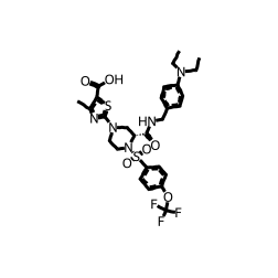 CCN(CC)c1ccc(CNC(=O)[C@H]2CN(c3nc(C)c(C(=O)O)s3)CCN2S(=O)(=O)c2ccc(OC(F)(F)F)cc2)cc1